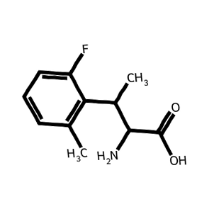 Cc1cccc(F)c1C(C)C(N)C(=O)O